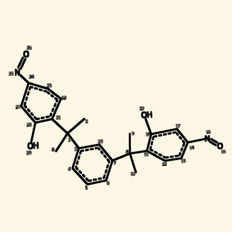 CC(C)(c1cccc(C(C)(C)c2ccc(N=O)cc2O)c1)c1ccc(N=O)cc1O